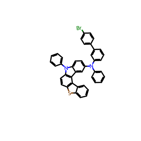 Brc1ccc(-c2cccc(N(c3ccccc3)c3ccc4c(c3)c3c5c(ccc3n4-c3ccccc3)sc3ccccc35)c2)cc1